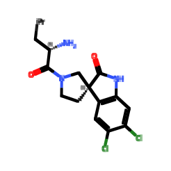 CC(C)C[C@H](N)C(=O)N1CC[C@]2(C1)C(=O)Nc1cc(Cl)c(Cl)cc12